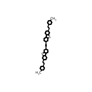 Cc1ccc(/C=C/c2ccc3c(c2)sc2cc(C#Cc4ccc5c(c4)sc4cc(/C=C/c6ccc(C)cc6)ccc45)ccc23)cc1